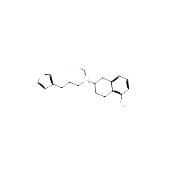 CCN(CCCc1ccsc1)C1CCc2c(N)cccc2C1